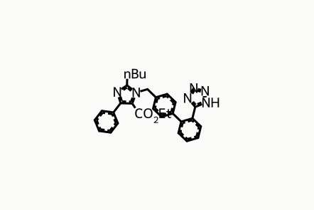 CCCCc1nc(-c2ccccc2)c(C(=O)OCC)n1Cc1ccc(-c2ccccc2-c2nnn[nH]2)cc1